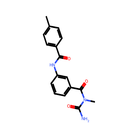 Cc1ccc(C(=O)Nc2c[c]cc(C(=O)N(C)C(N)=O)c2)cc1